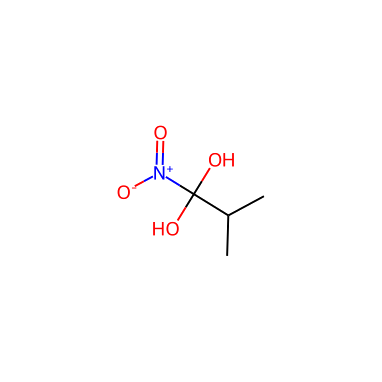 CC(C)C(O)(O)[N+](=O)[O-]